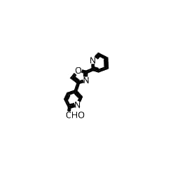 O=Cc1ccc(-c2coc(-c3ccccn3)n2)cn1